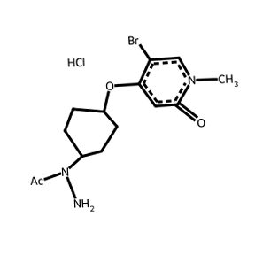 CC(=O)N(N)C1CCC(Oc2cc(=O)n(C)cc2Br)CC1.Cl